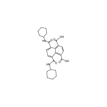 O=C(O)c1ccc(C(=O)O)c2c(C(=O)NC3CCCCC3)ccc(C(=O)NC3CCCCC3)c12